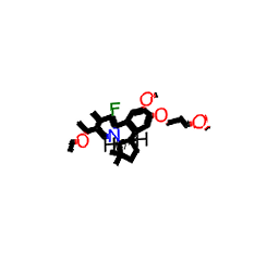 C=C(OCC)C1=CN2C(=C(F)C1=C)c1cc(OC)c(OCCCOC)cc1[C@@H]1CCC(C)(C)[C@@H]12